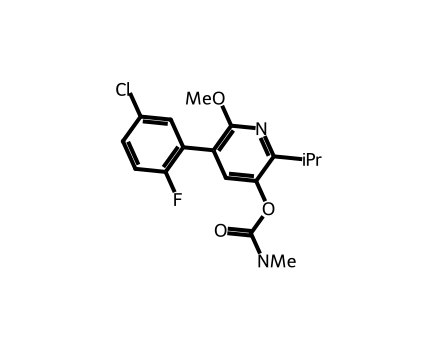 CNC(=O)Oc1cc(-c2cc(Cl)ccc2F)c(OC)nc1C(C)C